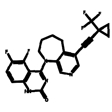 O=c1nc(N2CCCCc3c(C#CC4(C(F)(F)F)CC4)cncc32)c2c(F)c(F)ccc2[nH]1